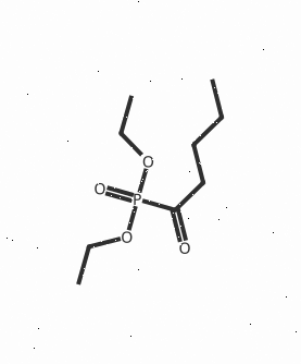 CCCCC(=O)P(=O)(OCC)OCC